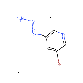 NN=Nc1cncc(Br)c1